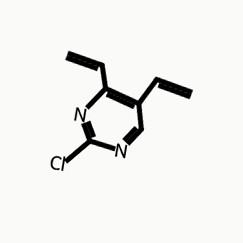 C=Cc1cnc(Cl)nc1C=C